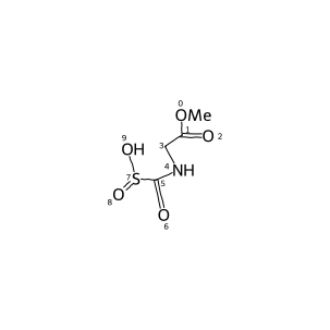 COC(=O)CNC(=O)S(=O)O